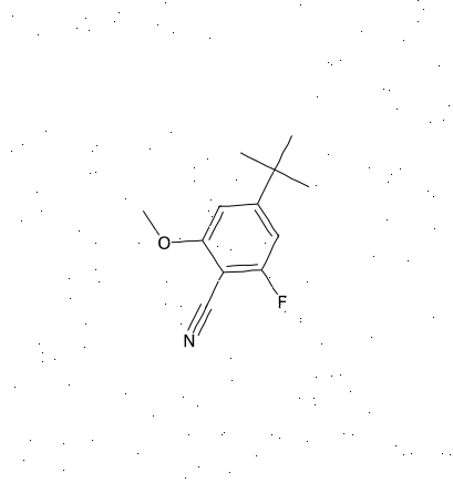 COc1cc(C(C)(C)C)cc(F)c1C#N